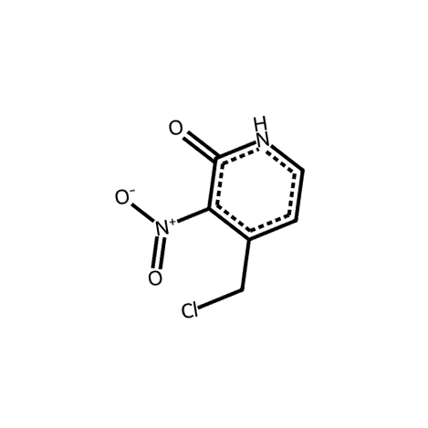 O=c1[nH]ccc(CCl)c1[N+](=O)[O-]